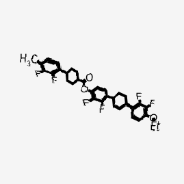 CCOc1ccc(C2CCC(c3ccc(OC(=O)C4CCC(c5ccc(C)c(F)c5F)CC4)c(F)c3F)CC2)c(F)c1F